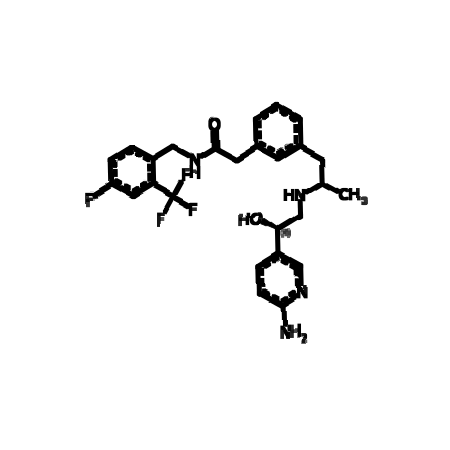 CC(Cc1cccc(CC(=O)NCc2ccc(F)cc2C(F)(F)F)c1)NC[C@H](O)c1ccc(N)nc1